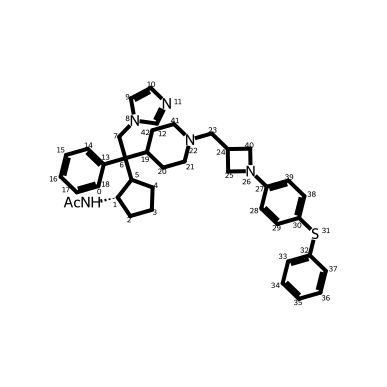 CC(=O)N[C@H]1CCCC1C(Cn1ccnc1)(c1ccccc1)C1CCN(CC2CN(c3ccc(Sc4ccccc4)cc3)C2)CC1